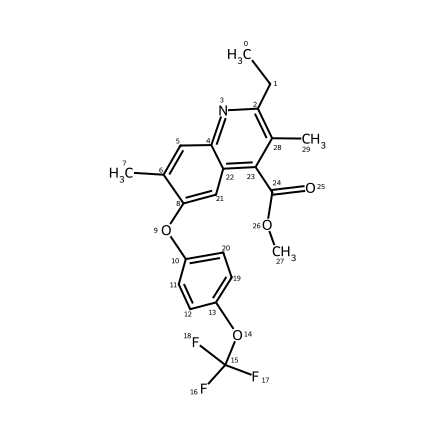 CCc1nc2cc(C)c(Oc3ccc(OC(F)(F)F)cc3)cc2c(C(=O)OC)c1C